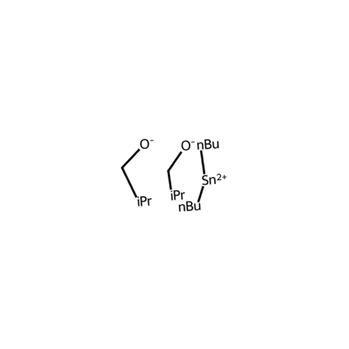 CC(C)C[O-].CC(C)C[O-].CCC[CH2][Sn+2][CH2]CCC